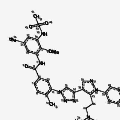 COc1c(NC(=O)c2ccc(C)c(-n3cc(-c4cnn(-c5ccccc5)c4CCN(C)C)nn3)c2)cc(C(C)(C)C)cc1NS(C)(=O)=O